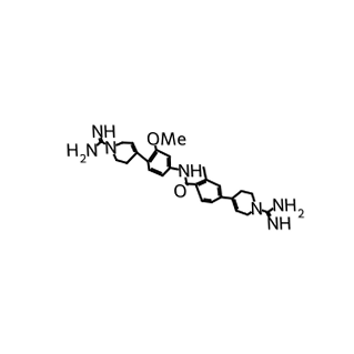 COc1cc(NC(=O)c2ccc(C3=CCN(C(=N)N)CC3)cc2C)ccc1C1=CCN(C(=N)N)CC1